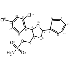 NS(=O)(=O)OCC1OC(c2ccccc2)OC1c1ccc(Cl)cc1Cl